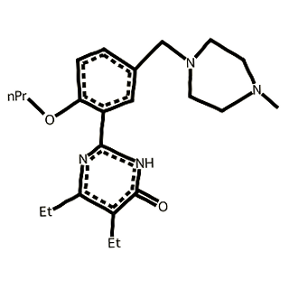 CCCOc1ccc(CN2CCN(C)CC2)cc1-c1nc(CC)c(CC)c(=O)[nH]1